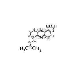 CC(C)=CCc1cccc2nc3c(C(=O)O)cccc3nc12